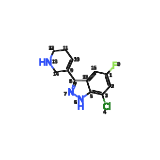 Fc1cc(Cl)c2[nH]nc(C3=CCCNC3)c2c1